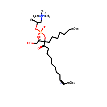 CCCCCCCC/C=C\CCCCCCCC(=O)C(CCCCCCCCCCCCCCCC)(OP(=O)([O-])OC(CC)C[N+](C)(C)C)[C@@H](O)CO